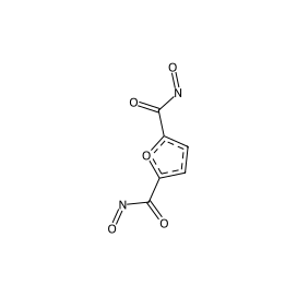 O=NC(=O)c1ccc(C(=O)N=O)o1